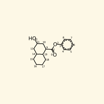 O=C(Oc1ccccc1)C1CC(O)CC2CCCCC21